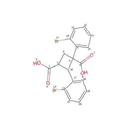 O=C(O)C1CC(C(=O)O)(c2ccccc2Br)C1c1ccccc1Br